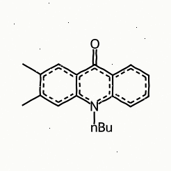 CCCCn1c2ccccc2c(=O)c2cc(C)c(C)cc21